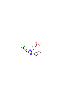 O=C(O)C1CCN(c2nc(COCC(F)(F)F)cnc2-c2cnc3c(c2)CCO3)CC1